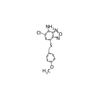 COc1ccc(CSc2cc(Cl)c(N)c3nonc23)cc1